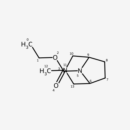 CCOC(=O)N1C2CCC1CN(C)C2